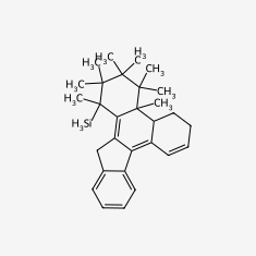 CC1([SiH3])C2=C3Cc4ccccc4C3=C3C=CCCC3C2(C)C(C)(C)C(C)(C)C1(C)C